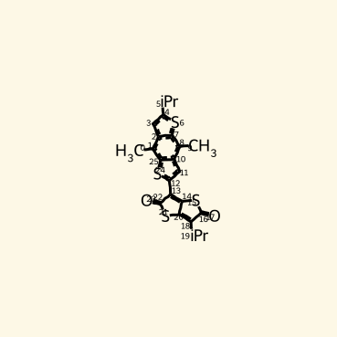 Cc1c2cc(C(C)C)sc2c(C)c2cc(C3=C4SC(=O)C(C(C)C)=C4SC3=O)sc12